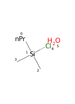 CCC[Si](C)(C)Cl.O